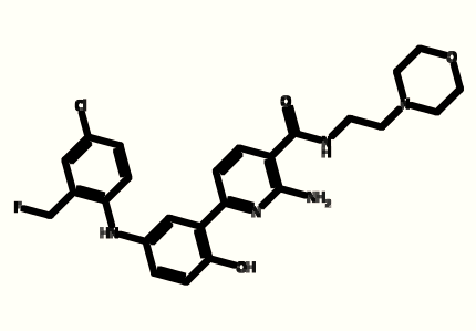 Nc1nc(-c2cc(Nc3ccc(Cl)cc3CF)ccc2O)ccc1C(=O)NCCN1CCOCC1